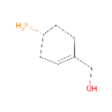 OCC1=CC[C@H](P)CC1